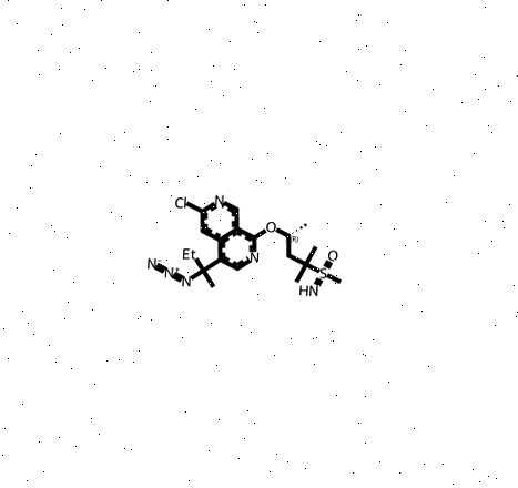 CCC(C)(N=[N+]=[N-])c1cnc(O[C@H](C)CC(C)(C)S(C)(=N)=O)c2cnc(Cl)cc12